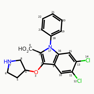 O=C(O)c1c(OC2CCNC2)c2cc(Cl)c(Cl)cc2n1-c1ccccc1